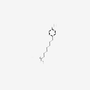 Cc1ccc(CCCCCCCC(C)C)cc1